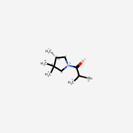 CC(C(=O)N1C[C@@H](C)C(C)(C)C1)C(C)(C)C